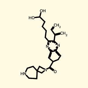 C=CC(=C)c1nc2c(nc1CCCCC(O)O)=CC(C(=O)N1CC3(CCNCC3)C1)CC=2